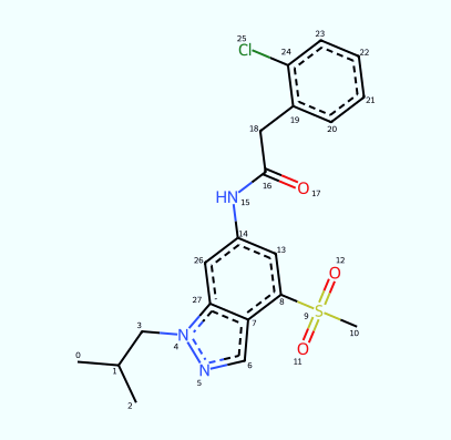 CC(C)Cn1ncc2c(S(C)(=O)=O)cc(NC(=O)Cc3ccccc3Cl)cc21